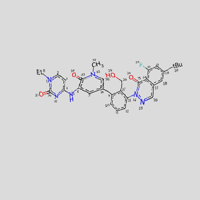 CCn1ccc(Nc2cc(-c3cccc(-n4ncc5cc(C(C)(C)C)cc(F)c5c4=O)c3CO)cn(C)c2=O)nc1=O